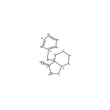 O=C1OCC2CCCCC12Cc1ccccc1